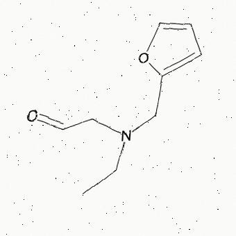 CCN(CC=O)Cc1ccco1